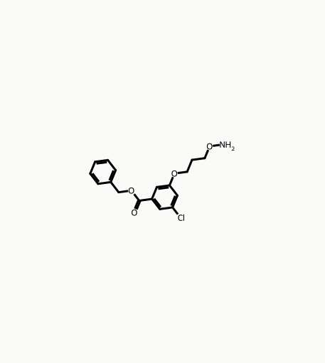 NOCCCOc1cc(Cl)cc(C(=O)OCc2ccccc2)c1